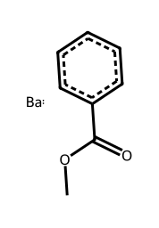 COC(=O)c1ccccc1.[Ba]